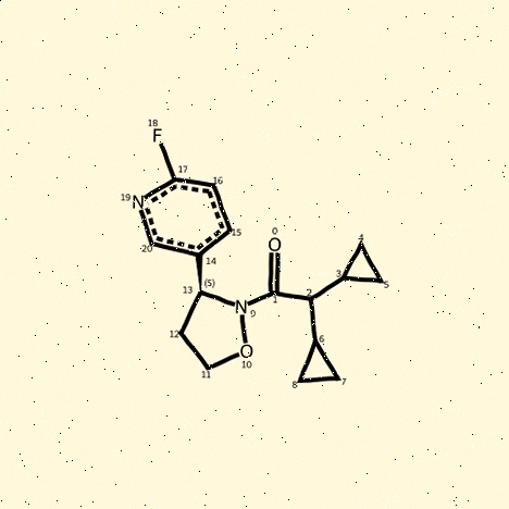 O=C(C(C1CC1)C1CC1)N1OCC[C@H]1c1ccc(F)nc1